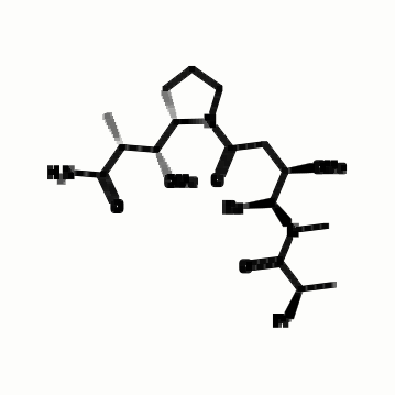 CC[C@H](C)[C@@H]([C@@H](CC(=O)N1CCC[C@H]1[C@H](OC)[C@@H](C)C(N)=O)OC)N(C)C(=O)[C@@H](C)C(C)C